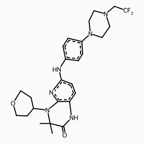 CC1(C)C(=O)Nc2ccc(Nc3ccc(N4CCN(CC(F)(F)F)CC4)cc3)nc2N1C1CCOCC1